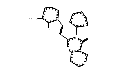 COc1cccc(/C=C/c2nc3ccncc3c(=O)n2-c2ccccc2)c1O